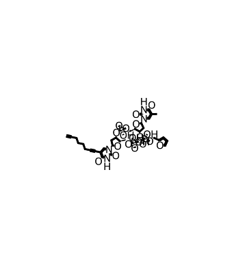 C#CCCCCC#Cc1cn([C@H]2C[C@@H](OP(=O)(O)OC[C@H]3O[C@@H](n4cc(C)c(=O)[nH]c4=O)C[C@H]3OP(=O)(O)OCc3ccco3)[C@@H](COP(=O)(O)O)O2)c(=O)[nH]c1=O